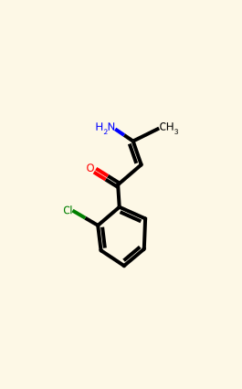 CC(N)=CC(=O)c1ccccc1Cl